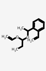 C=COC(CC)OC(C)c1ccccc1C=C